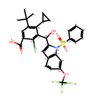 CC(C)(C)c1cc(C(=O)O)c(Cl)c(C(O)c2cc3ccc(OC(F)(F)F)cc3n2S(=O)(=O)c2ccccc2)c1C1CC1